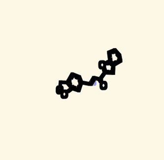 O=C(/C=C/c1ccc2c(c1)OOC2)c1cc2ccccc2o1